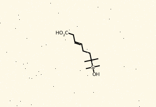 CC(C)(CCC=CCC(=O)O)[Si](C)(C)O